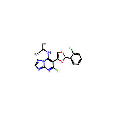 CC(Nc1c(C2=COC(c3ccccc3Cl)O2)c(Cl)nc2ncnn12)C(C)(C)C